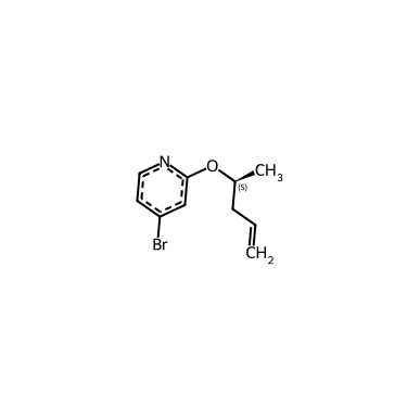 C=CC[C@H](C)Oc1cc(Br)ccn1